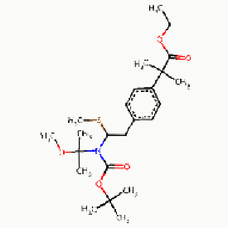 CCOC(=O)C(C)(C)c1ccc(CC(SC)N(C(=O)OC(C)(C)C)C(C)(C)OC)cc1